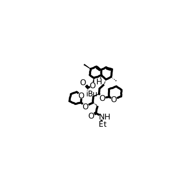 CCNC(=O)C[C@@H](C[C@@H](CC[C@@H]1[C@@H]2C(=C[C@H](C)C[C@@H]2OC(=O)[C@@H](C)CC)C=C[C@@H]1C)OC1CCCCO1)OC1CCCCO1